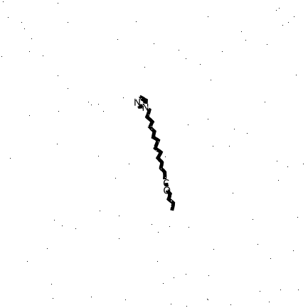 CCCCOCCCCCCCCCCCCCCCn1ccnc1